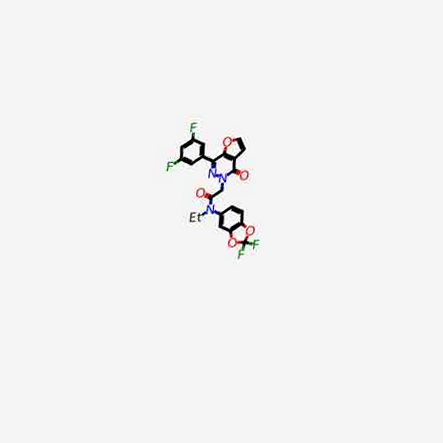 CCN(C(=O)Cn1nc(-c2cc(F)cc(F)c2)c2occc2c1=O)c1ccc2c(c1)OC(F)(F)O2